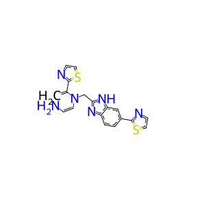 C=C(c1nccs1)N(/C=C\N)Cc1nc2ccc(-c3nccs3)cc2[nH]1